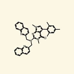 Cc1cc(C)c(-c2cn(C)c3nc(N(Cc4ccc5ccccc5n4)Cc4ccc5ccccc5n4)n(C)c(=O)c23)c(C)c1